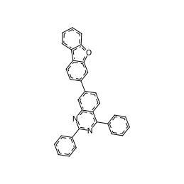 c1ccc(-c2nc(-c3ccccc3)c3ccc(-c4ccc5c(c4)oc4ccccc45)cc3n2)cc1